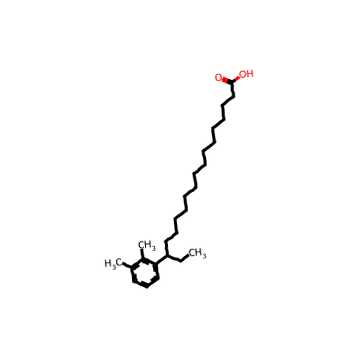 CCC(CCCCCCCCCCCCCCC(=O)O)c1cccc(C)c1C